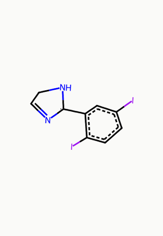 Ic1ccc(I)c([C]2N=CCN2)c1